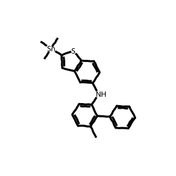 Cc1cccc(Nc2ccc3s[c]([Sn]([CH3])([CH3])[CH3])cc3c2)c1-c1ccccc1